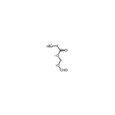 CCCCCC(=O)OCO[C]=O